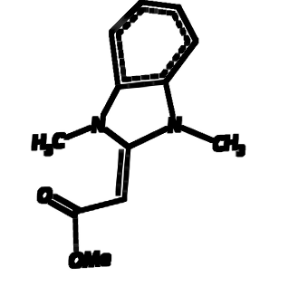 COC(=O)C=C1N(C)c2ccccc2N1C